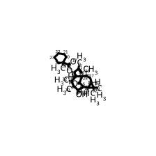 CC1=C[C@]23C(=O)[C@@H]([C@H](O)[C@H](C)[C@@H](C)[C@@H]2[C@H]1OC(=O)C1(C)CCCCC1)[C@H]1[C@@H](C[C@H]3C)C1(C)C